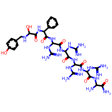 N=C(N)NC(NC(=O)C(NC(=N)N)NC(=O)C(NC(=N)N)NC(=O)C(NC(=N)N)NC(=O)C(NC(=O)C(O)NCc1ccc(O)cc1)c1ccccc1)C(=O)NC(N)C(N)=O